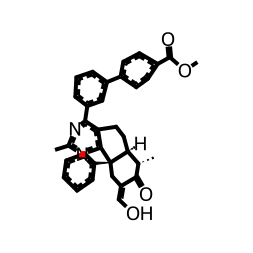 COC(=O)c1ccc(-c2cccc(-c3nc(C)nc4c3CC[C@H]3[C@H](C)C(=O)/C(=C\O)C[C@]43c3ccccc3)c2)cc1